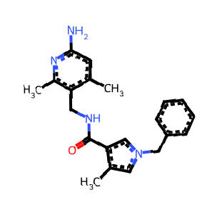 Cc1cn(Cc2ccccc2)cc1C(=O)NCc1c(C)cc(N)nc1C